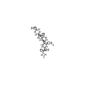 Cc1cc(NC(=O)C2CCC2)ccc1N1CCCC2(CCN([C@H]3CC[C@H](O)CC3)C2=O)C1